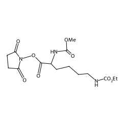 CCOC(=O)NCCCCC(NC(=O)OC)C(=O)ON1C(=O)CCC1=O